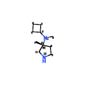 CN(C1CCC1)[C@]1(C)CCNC1